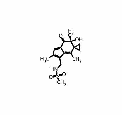 CC1=C(CNS(C)(=O)=O)C2=C(C)C3(CC3)[C@@](C)(O)C(=O)C2=C1